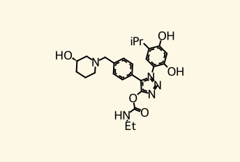 CCNC(=O)Oc1nnn(-c2cc(C(C)C)c(O)cc2O)c1-c1ccc(CN2CCC[C@@H](O)C2)cc1